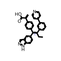 C=C(C(=O)O)c1ccc(/C(=C(/CC)c2cccc(-c3ccncc3)c2)c2ccc3[nH]ncc3c2)cc1